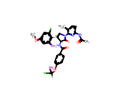 COc1cc(F)c([C@@H]2CN(c3nc(NC(C)=O)ccc3C)C(=O)[C@H]2NC(=O)c2ccc(OC(F)(F)P)cc2)c(P)c1